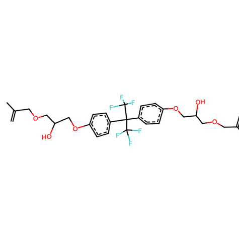 C=C(C)COCC(O)COc1ccc(C(c2ccc(OCC(O)COCC(=C)C)cc2)(C(F)(F)F)C(F)(F)F)cc1